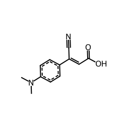 CN(C)c1ccc(C(C#N)=CC(=O)O)cc1